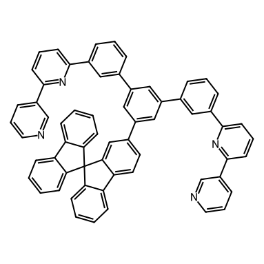 c1cncc(-c2cccc(-c3cccc(-c4cc(-c5cccc(-c6cccc(-c7cccnc7)n6)c5)cc(-c5ccc6c(c5)C5(c7ccccc7-c7ccccc75)c5ccccc5-6)c4)c3)n2)c1